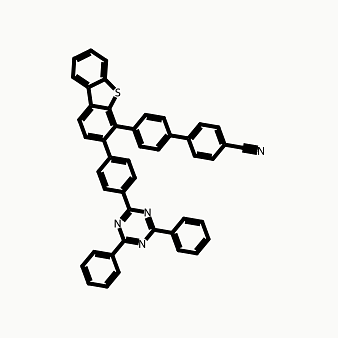 N#Cc1ccc(-c2ccc(-c3c(-c4ccc(-c5nc(-c6ccccc6)nc(-c6ccccc6)n5)cc4)ccc4c3sc3ccccc34)cc2)cc1